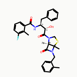 Cc1ccccc1CN1C(=O)[C@H]2N(C(=O)[C@@H](O)[C@H](Cc3ccccc3)NC(=O)c3cccc(F)c3C)CSC21C